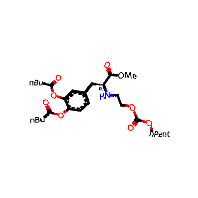 CCCCCOC(=O)OCCN[C@@H](Cc1ccc(OC(=O)CCCC)c(OC(=O)CCCC)c1)C(=O)OC